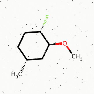 CO[C@H]1C[C@H](C)CC[C@@H]1F